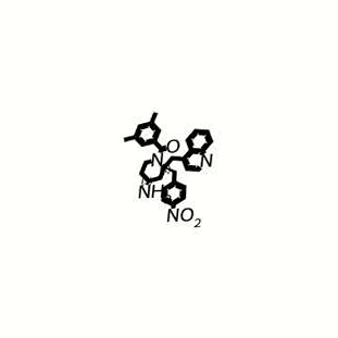 Cc1cc(C)cc(C(=O)N2CC[C@H](N)C[C@@]2(Cc2ccc([N+](=O)[O-])cc2)Cc2ccnc3ccccc23)c1